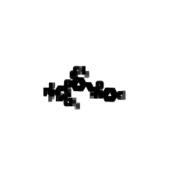 COc1cc(C=CC(=O)Nc2ccc(Cl)cc2)ccc1Oc1cc(C(F)(F)F)nc(C)n1